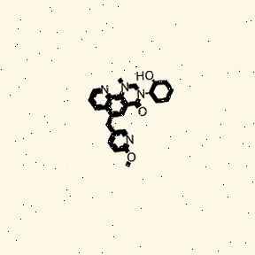 COc1ccc(Cc2cc3c(c4ncccc24)N(C)CN([C@H]2CCCC[C@@H]2O)C3=O)cn1